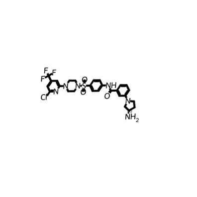 N[C@@H]1CCN(c2cccc(C(=O)Nc3ccc(S(=O)(=O)N4CCN(c5cc(C(F)(F)F)cc(Cl)n5)CC4)cc3)c2)C1